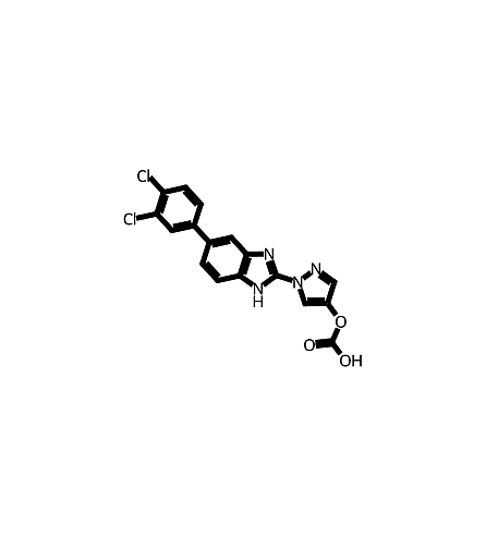 O=C(O)Oc1cnn(-c2nc3cc(-c4ccc(Cl)c(Cl)c4)ccc3[nH]2)c1